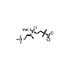 COP(=O)(CCC(C)(C)N(Cl)Cl)N(C)CC[N+](C)(C)C